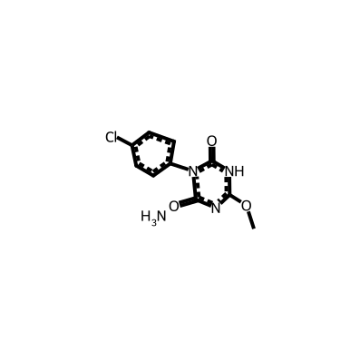 COc1nc(=O)n(-c2ccc(Cl)cc2)c(=O)[nH]1.N